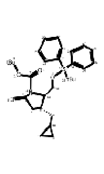 CC(C)(C)OC(=O)N1C(=O)C[C@@H](CC2CC2)[C@@H]1CO[Si](c1ccccc1)(c1ccccc1)C(C)(C)C